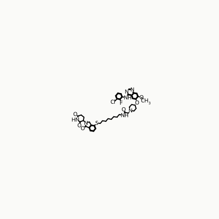 COc1cc2ncnc(Nc3cccc(Cl)c3F)c2cc1OC1CCN(CC(=O)NCCCCCCCCSc2cccc3c2CN(C2CCC(=O)NC2=O)C3=O)CC1